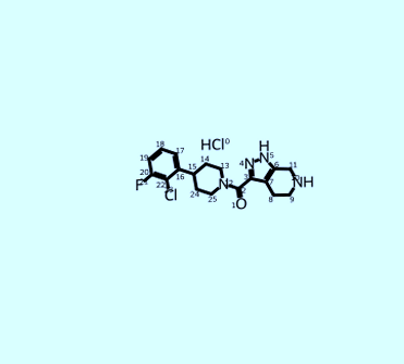 Cl.O=C(c1n[nH]c2c1CCNC2)N1CCC(c2cccc(F)c2Cl)CC1